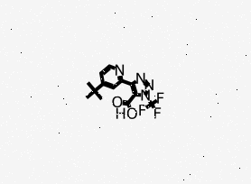 CC(C)(C)c1ccnc(-c2nnn(C(F)(F)F)c2C(=O)O)c1